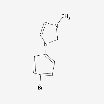 CN1C=CN(c2ccc(Br)cc2)C1